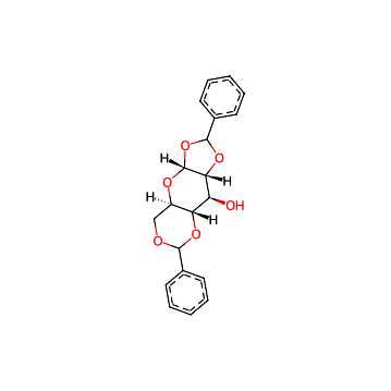 O[C@@H]1[C@H]2OC(c3ccccc3)O[C@H]2O[C@@H]2COC(c3ccccc3)O[C@@H]12